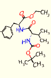 CCOC(=O)[C@H](Cc1ccccc1)NC(=O)[C@@H](NC(=O)OC(C)(C)C)C(C)C